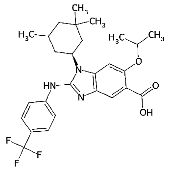 CC1C[C@H](n2c(Nc3ccc(C(F)(F)F)cc3)nc3cc(C(=O)O)c(OC(C)C)cc32)CC(C)(C)C1